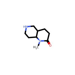 CN1C(=O)CCC2CNCCC21